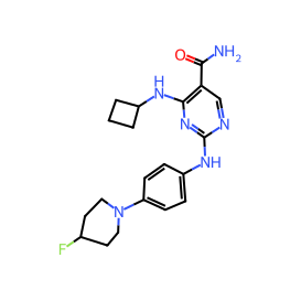 NC(=O)c1cnc(Nc2ccc(N3CCC(F)CC3)cc2)nc1NC1CCC1